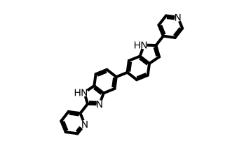 c1ccc(-c2nc3cc(-c4ccc5cc(-c6ccncc6)[nH]c5c4)ccc3[nH]2)nc1